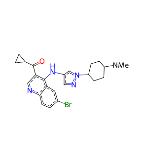 CNC1CCC(n2cc(Nc3c(C(=O)C4CC4)cnc4ccc(Br)cc34)cn2)CC1